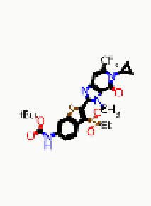 CCS(=O)(=O)c1c(-c2nc3cc(C(F)(F)F)n(C4CC4)c(=O)c3n2C)sc2cc(NC(=O)OC(C)(C)C)ccc12